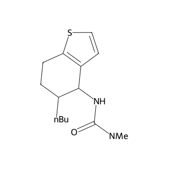 CCCCC1CCc2sccc2C1NC(=O)NC